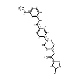 CC1CCN(C(=O)CN2CCN(c3cnc(NCc4cccc(OC(F)(F)F)c4)nc3)CC2)C1